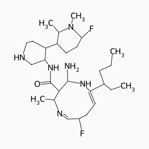 CCCC(CC)/C1=C/CC(F)/C=N\C(C)C(C(=O)NC2CNCCC2C2CCC(F)N(C)C2C)C(N)N1